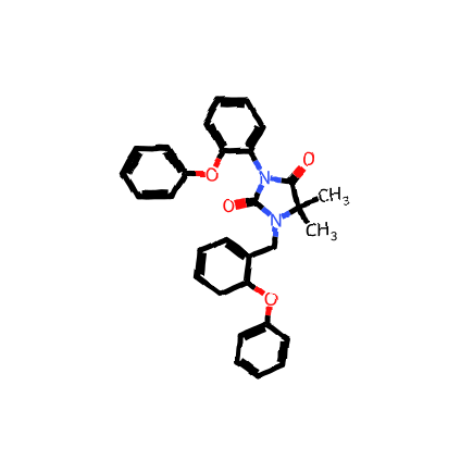 CC1(C)C(=O)N(c2ccccc2Oc2ccccc2)C(=O)N1CC1=CC=CCC1Oc1ccccc1